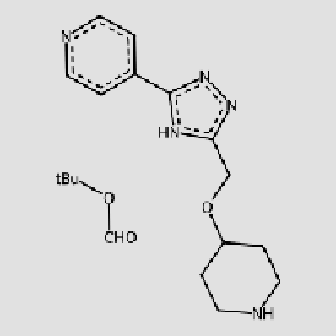 CC(C)(C)OC=O.c1cc(-c2nnc(COC3CCNCC3)[nH]2)ccn1